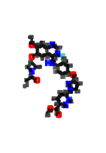 C=CC(=O)N1CC(Oc2cc3c(Nc4ccc(Oc5ccn(-c6ccc(C(=O)OC)nn6)n5)cc4F)ncnc3cc2OC)C1